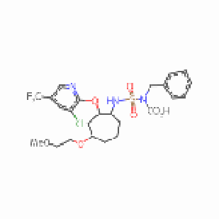 COCCOC1CCCC(NS(=O)(=O)N(Cc2ccccc2)C(=O)O)C(Oc2ncc(C(F)(F)F)cc2Cl)C1